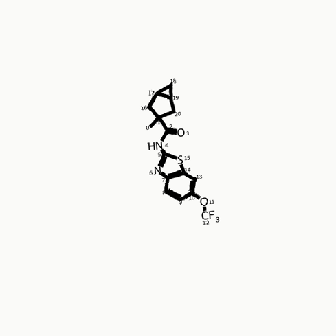 CC1(C(=O)Nc2nc3ccc(OC(F)(F)F)cc3s2)CC2CC2C1